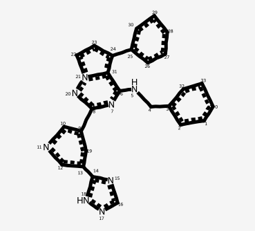 c1ccc(CNc2nc(-c3cncc(-c4ncn[nH]4)c3)nn3ccc(-c4ccccc4)c23)cc1